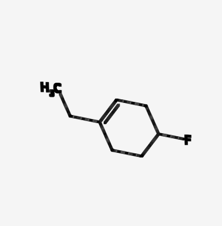 CCC1=CCC(F)CC1